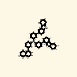 c1cc(-c2ccc3sc4ccccc4c3c2)cc(N(c2cccc(-c3cccc4ccccc34)c2)c2cccc(-c3cccc4c3oc3ccccc34)c2)c1